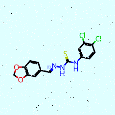 S=C(N/N=C/c1ccc2c(c1)OCO2)Nc1ccc(Cl)c(Cl)c1